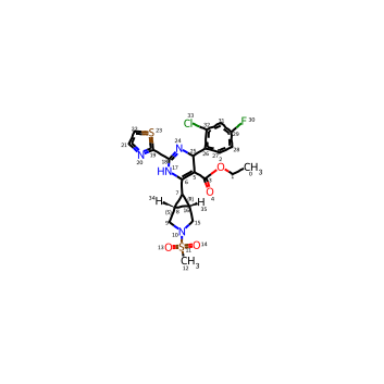 CCOC(=O)C1=C(C2[C@H]3CN(S(C)(=O)=O)C[C@@H]23)NC(c2nccs2)=NC1c1ccc(F)cc1Cl